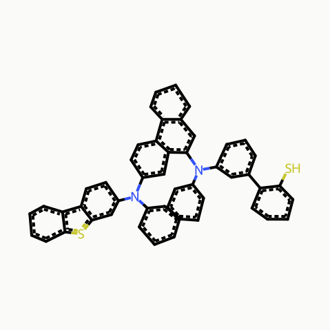 Sc1ccccc1-c1cccc(N(c2ccccc2)c2cc3ccccc3c3ccc(N(c4ccccc4)c4ccc5c(c4)sc4ccccc45)cc23)c1